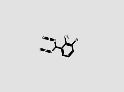 CCc1cccc(C(N=C=O)N=C=O)c1C